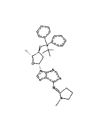 [CH2][C@H]1O[C@@H](n2cnc3c(/N=C4\CCCN4C)ncnc32)C[C@@H]1O[Si](c1ccccc1)(c1ccccc1)C(C)(C)C